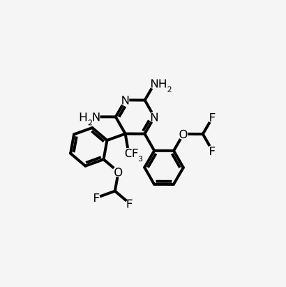 NC1=NC(N)N=C(c2ccccc2OC(F)F)C1(c1ccccc1OC(F)F)C(F)(F)F